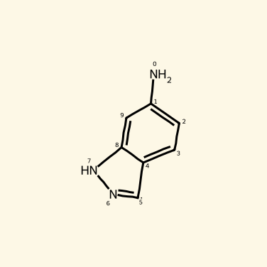 Nc1ccc2[c]n[nH]c2c1